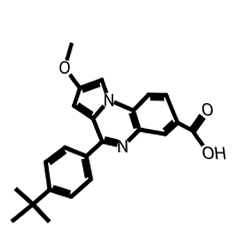 COc1cc2c(-c3ccc(C(C)(C)C)cc3)nc3cc(C(=O)O)ccc3n2c1